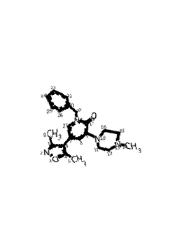 Cc1noc(C)c1-c1cc(N2CCN(C)CC2)c(=O)n(Cc2ccccc2)c1